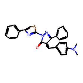 CN(C)c1ccc(/C=C2/C(=O)N(c3nc(-c4ccccc4)cs3)N=C2c2ccccc2)cc1